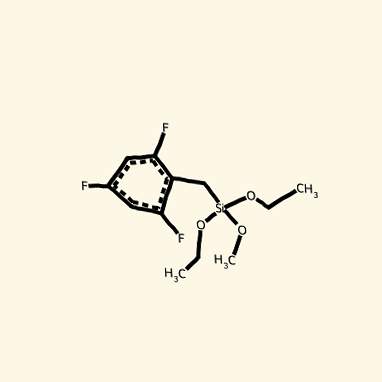 CCO[Si](Cc1c(F)cc(F)cc1F)(OC)OCC